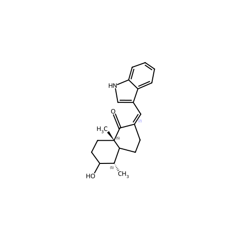 C[C@@H]1C(O)CC[C@]2(C)C(=O)/C(=C\c3c[nH]c4ccccc34)CCC12